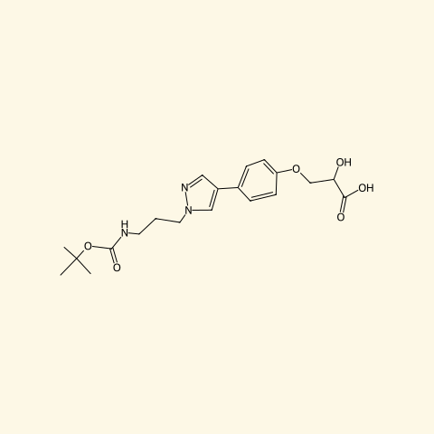 CC(C)(C)OC(=O)NCCCn1cc(-c2ccc(OCC(O)C(=O)O)cc2)cn1